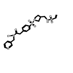 C=CS(=O)(=O)NCC1CCN(S(=O)(=O)c2ccc(CC(=O)N(CC)Cc3cccnc3)cc2)C1